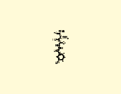 CCCC[C@H](CC)[C@H](N)[C@H](O)C(=O)NNC(=O)c1cccc(Cl)c1